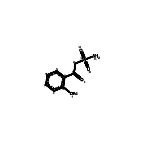 CC(=O)Oc1ccccc1C(=O)CS(N)(=O)=O